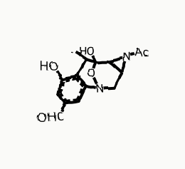 [CH2]C1c2c(O)cc(C=O)cc2N2CC3C(N3C(C)=O)C1(O)O2